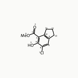 COC(=O)c1c(O)c(Cl)cc2c1CCC2